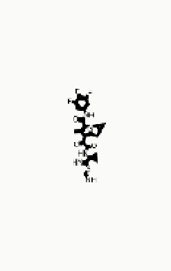 Cc1c(C(=O)C(=O)NC2(C(=N)SC=N)CC2)c2n(c1C(=O)Nc1cc(F)c(F)c(F)c1)C1CC1C2